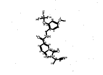 COc1ccc(CNC(=O)c2ccc3nn(C(C)C#N)c(=O)n3c2)c(OC(F)(F)F)c1